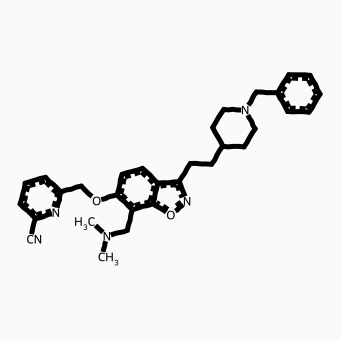 CN(C)Cc1c(OCc2cccc(C#N)n2)ccc2c(CCC3CCN(Cc4ccccc4)CC3)noc12